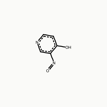 O=Nc1cnccc1O